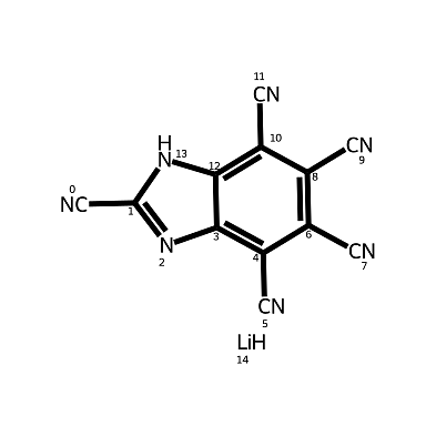 N#Cc1nc2c(C#N)c(C#N)c(C#N)c(C#N)c2[nH]1.[LiH]